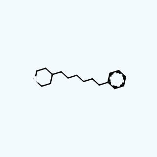 c1ccc(CCCCCCC2CC[N]CC2)cc1